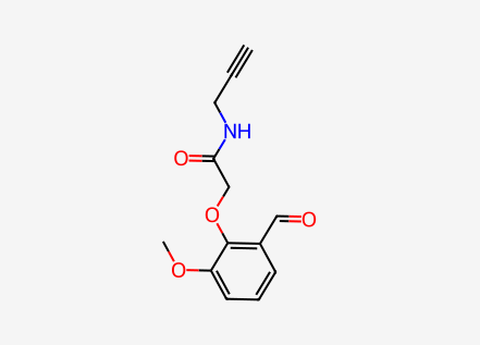 C#CCNC(=O)COc1c(C=O)cccc1OC